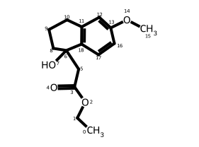 CCOC(=O)CC1(O)CCCc2cc(OC)ccc21